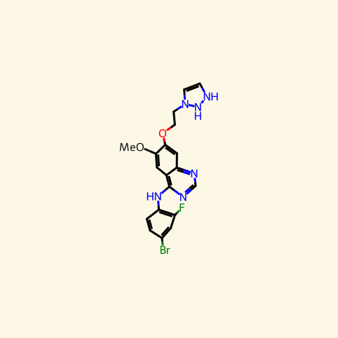 COc1cc2c(Nc3ccc(Br)cc3F)ncnc2cc1OCCN1C=CNN1